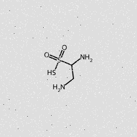 NCC(N)S(=O)(=O)S